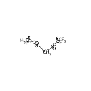 C=C(CCCCCCC(=O)OC1CCC(c2cc(F)c(C)c(F)c2)CC1)CCCCCCC(=O)OC1CCC(c2cc(F)c(C(F)(F)F)c(F)c2)CC1